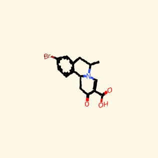 CC1Cc2cc(Br)ccc2C2CC(=O)C(C(=O)O)=CN12